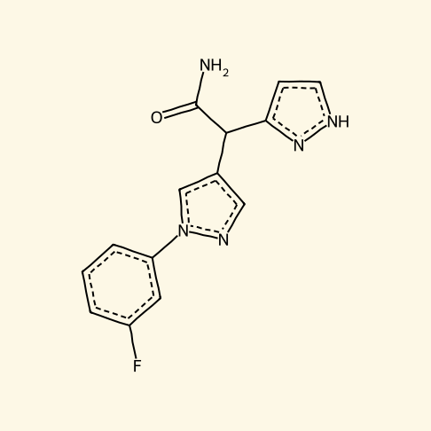 NC(=O)C(c1cnn(-c2cccc(F)c2)c1)c1cc[nH]n1